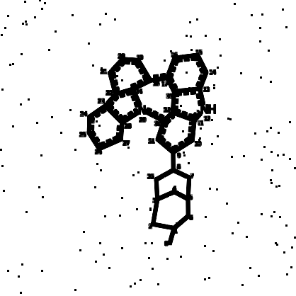 CC1CC2CC(C1)CC(c1cc3[nH]c4cccc5c6cccc7c8ccccc8n(c(c1)c3c45)c67)C2